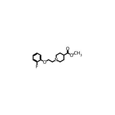 COC(=O)C1CCN(CCOc2ccccc2F)CC1